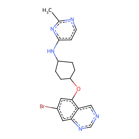 Cc1nccc(NC2CCC(Oc3cc(Br)cc4ncncc34)CC2)n1